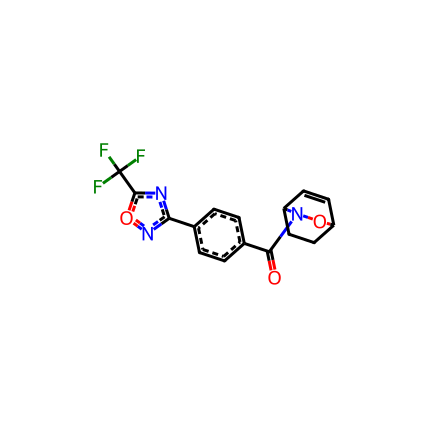 O=C(c1ccc(-c2noc(C(F)(F)F)n2)cc1)N1OC2C=CC1CC2